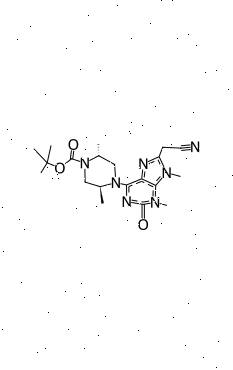 C[C@@H]1CN(c2nc(=O)n(C)c3c2nc(CC#N)n3C)[C@@H](C)CN1C(=O)OC(C)(C)C